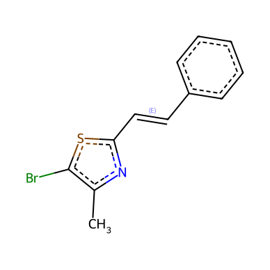 Cc1nc(/C=C/c2ccccc2)sc1Br